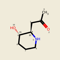 CC(=O)C[C@H]1NCCC[C@@H]1O